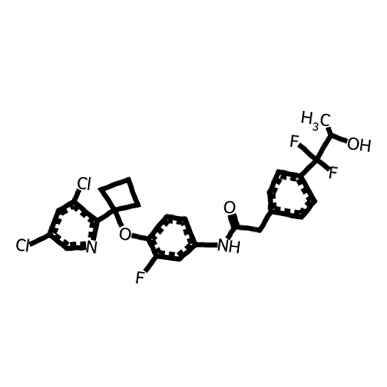 CC(O)C(F)(F)c1ccc(CC(=O)Nc2ccc(OC3(c4ncc(Cl)cc4Cl)CCC3)c(F)c2)cc1